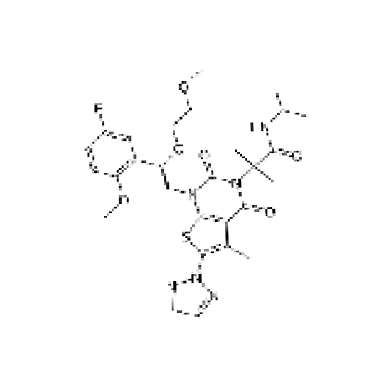 COCCO[C@@H](Cn1c(=O)n(C(C)(C)C(=O)NC(C)C)c(=O)c2c(C)c(-n3nccn3)sc21)c1cc(F)ccc1OC